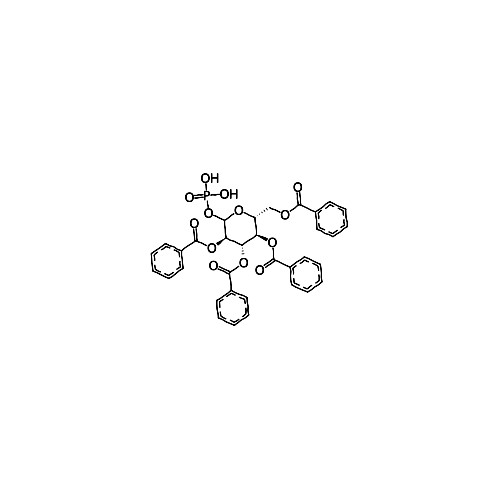 O=C(OC[C@H]1OC(OP(=O)(O)O)[C@H](OC(=O)c2ccccc2)[C@@H](OC(=O)c2ccccc2)[C@@H]1OC(=O)c1ccccc1)c1ccccc1